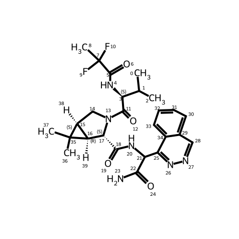 CC(C)[C@H](NC(=O)C(C)(F)F)C(=O)N1C[C@H]2[C@@H]([C@H]1C(=O)NC(C(N)=O)c1nncc3ccccc13)C2(C)C